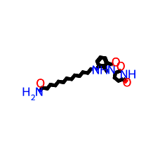 NC(=O)CCCCCCCCCCCCNc1cccc2c1CN(C1CCC(=O)NC1=O)C2=O